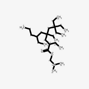 CCCC(CC)CC(CC)(CC(CC)C(=O)OCN(C)C)CC(CC)(CC)CC